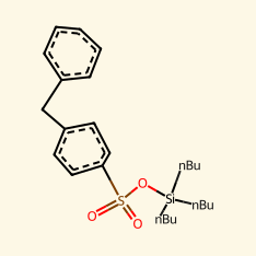 CCCC[Si](CCCC)(CCCC)OS(=O)(=O)c1ccc(Cc2ccccc2)cc1